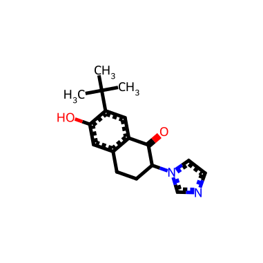 CC(C)(C)c1cc2c(cc1O)CCC(n1ccnc1)C2=O